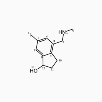 CNCc1cc(I)cc2c1CCC2O